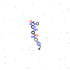 C[C@@H]1C(=O)N(C)c2ccc(Nc3cccc(C(=O)N[C@H]4CC[C@H](N5CCN(CC6CC6)CC5)CC4)c3)nc2N1C1CCCC1